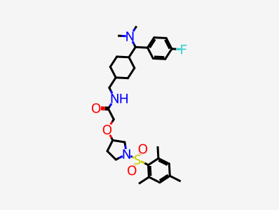 Cc1cc(C)c(S(=O)(=O)N2CCC(OCC(=O)NCC3CCC(C(c4ccc(F)cc4)N(C)C)CC3)C2)c(C)c1